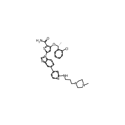 C[C@@H](Oc1cc(-n2cnc3cc(-c4ccnc(NCCCN5CCN(C)CC5)c4)ccc32)sc1C(N)=O)c1ccccc1Cl